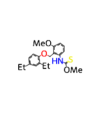 CCc1ccc(OCc2c(NC(=S)OC)cccc2OC)c(CC)c1